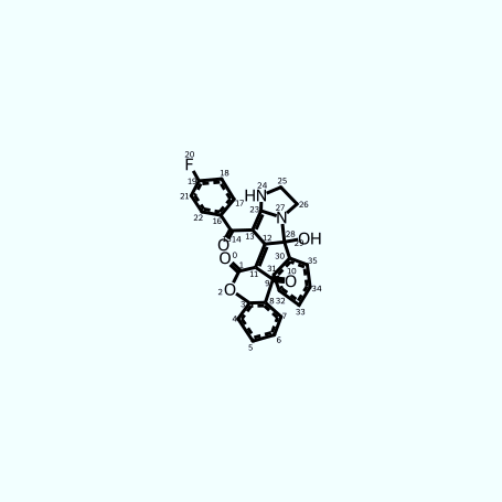 O=C1Oc2ccccc2C(=O)/C1=C1/C(C(=O)c2ccc(F)cc2)=C2NCCN2C1(O)c1ccccc1